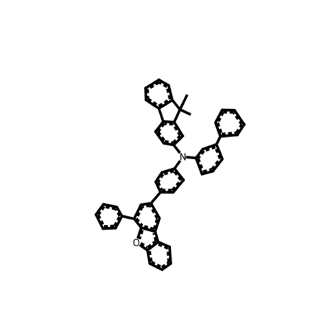 CC1(C)c2ccccc2-c2ccc(N(c3ccc(-c4cc(-c5ccccc5)c5oc6ccccc6c5c4)cc3)c3cccc(-c4ccccc4)c3)cc21